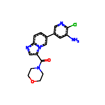 Nc1cc(-c2ccc3ncc(C(=O)N4CCOCC4)n3c2)cnc1Cl